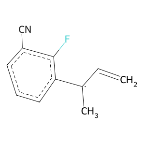 C=C[C](C)c1cccc(C#N)c1F